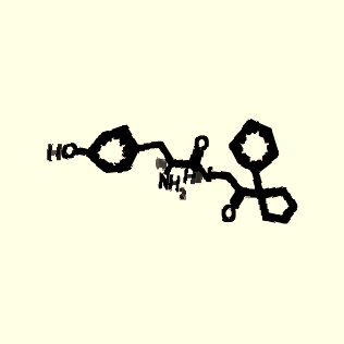 N[C@@H](Cc1ccc(O)cc1)C(=O)NCC(=O)C1(c2ccccc2)CCCC1